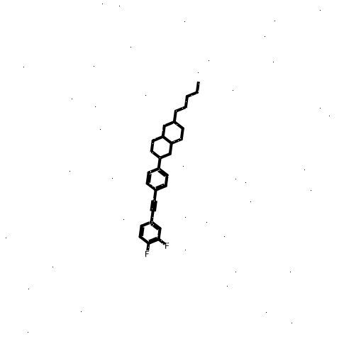 CCCCCC1CCC2CC(c3ccc(C#Cc4ccc(F)c(F)c4)cc3)CCC2C1